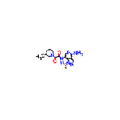 CC1CCCN(C(=O)C(=O)Nc2cnc(N)c3cnn(SF)c23)C1